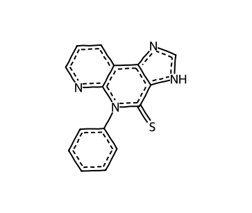 S=c1c2[nH]cnc2c2cccnc2n1-c1ccccc1